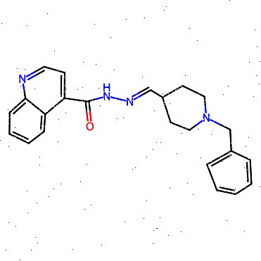 O=C(NN=CC1CCN(Cc2ccccc2)CC1)c1ccnc2ccccc12